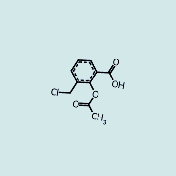 CC(=O)Oc1c(CCl)cccc1C(=O)O